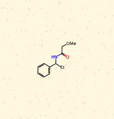 CCC(NC(=O)COC)c1ccccc1